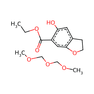 CCOC(=O)c1cc2c(cc1O)CCO2.COCOCOC